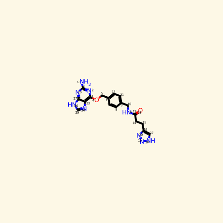 Nc1nc(OCc2ccc(CNC(=O)CCc3c[nH]nn3)cc2)c2nc[nH]c2n1